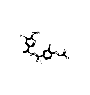 C=C(O/N=C(\N)c1ccc(OCC(=O)CC)c(F)c1)c1cnc(OC(C)C)c(O)c1